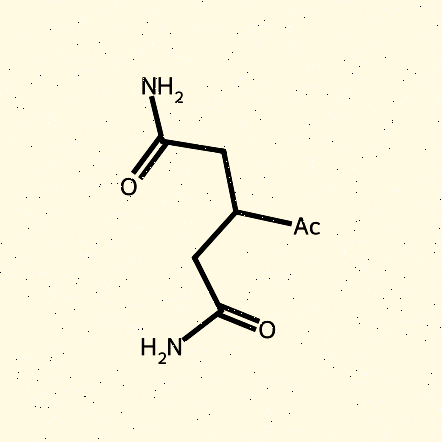 CC(=O)C(CC(N)=O)CC(N)=O